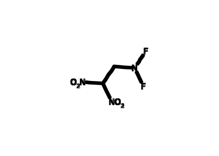 O=[N+]([O-])C(CN(F)F)[N+](=O)[O-]